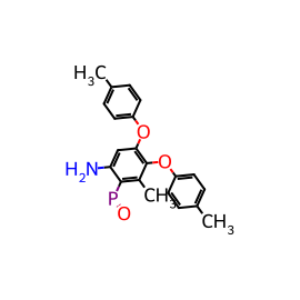 Cc1ccc(Oc2cc(N)c(P=O)c(C)c2Oc2ccc(C)cc2)cc1